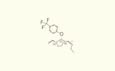 C=C[C@@H]1CC[C@H](/C=C\CC)[C@H]1Oc1ccc(C(F)(F)F)cc1